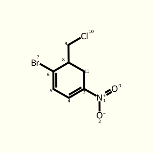 O=[N+]([O-])C1=CC=C(Br)C(CCl)C1